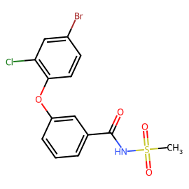 CS(=O)(=O)NC(=O)c1cccc(Oc2ccc(Br)cc2Cl)c1